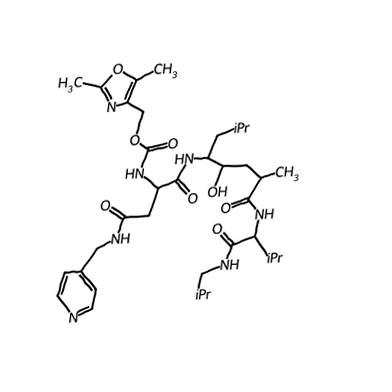 Cc1nc(COC(=O)NC(CC(=O)NCc2ccncc2)C(=O)NC(CC(C)C)C(O)CC(C)C(=O)NC(C(=O)NCC(C)C)C(C)C)c(C)o1